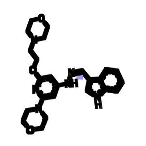 C(=N/Nc1cc(OCCN2CCOCC2)nc(N2CCOCC2)c1)/c1c[nH]c2ccccc12